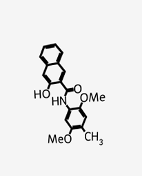 COc1cc(NC(=O)c2cc3ccccc3cc2O)c(OC)cc1C